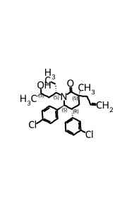 C=CC[C@@]1(C)C[C@H](c2cccc(Cl)c2)[C@@H](c2ccc(Cl)cc2)N([C@@H](CC)C[C@H](C)O)C1=O